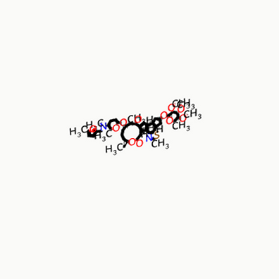 CC[C@H]1CCC[C@H](O[C@H]2CC[C@H](N(C)Cc3ccc(C)o3)C(C)O2)[C@@H](C)C(=O)C2=C[C@H]3[C@@H]4C[C@H](O[C@@H]5OC(C)[C@H](OC)C(OC)C5OC)C[C@H]4c4sc(C)nc4[C@H]3[C@@H]2CC(=O)O1